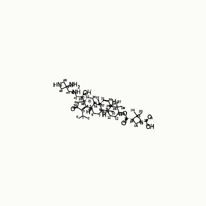 CC(C)C1=C2[C@H]3CC[C@@H]4[C@@]5(C)CC[C@H](OC(=O)[C@H]6C[C@@H](C(=O)O)C6(C)C)C(C)(C)[C@@H]5CC[C@@]4(C)[C@]3(C)CC[C@@]2([C@@H](O)CNCC2(N)CNC2)CC1=O